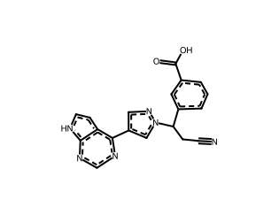 N#CCC(c1cccc(C(=O)O)c1)n1cc(-c2ncnc3[nH]ccc23)cn1